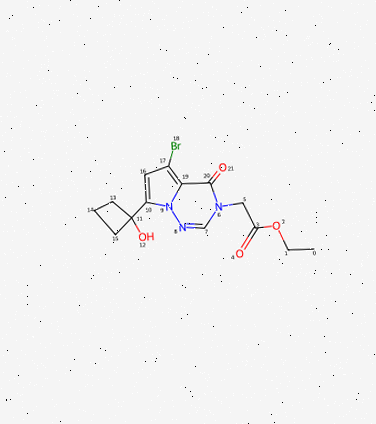 CCOC(=O)Cn1cnn2c(C3(O)CCC3)cc(Br)c2c1=O